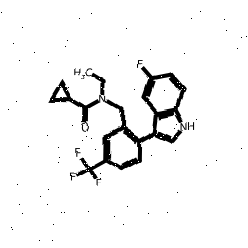 CCN(Cc1cc(C(F)(F)F)ccc1-c1c[nH]c2ccc(F)cc12)C(=O)C1CC1